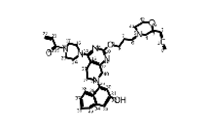 C=C=CC1CN(CCCOc2nc3c(c(N4CCN(C(=O)C=C)CC4)n2)CCN(c2cc(O)cc4ccccc24)C3)CCO1